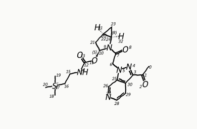 CC(=O)c1nn(CC(=O)N2[C@@H](OC(=O)NCC[Si](C)(C)C)C[C@H]3C[C@H]32)c2cnccc12